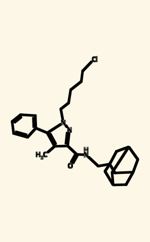 Cc1c(C(=O)NCC23CC4CC(CC(C4)C2)C3)nn(CCCCCCl)c1-c1ccccc1